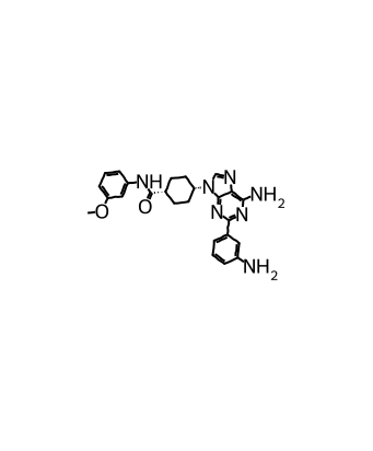 COc1cccc(NC(=O)[C@H]2CC[C@@H](n3cnc4c(N)nc(-c5cccc(N)c5)nc43)CC2)c1